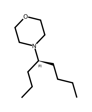 CCCC[C@@H](CCC)N1CCOCC1